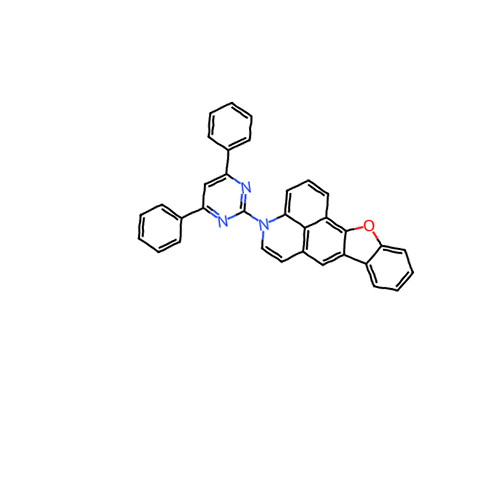 C1=CN(c2nc(-c3ccccc3)cc(-c3ccccc3)n2)c2cccc3c2c1cc1c2ccccc2oc31